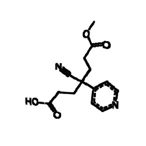 COC(=O)CCC(C#N)(CCC(=O)O)c1ccncc1